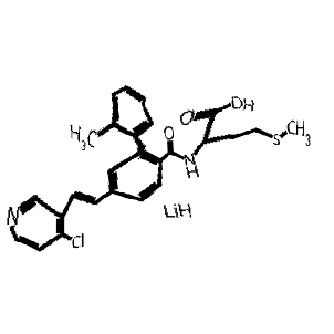 CSCCC(NC(=O)c1ccc(C=Cc2cnccc2Cl)cc1-c1ccccc1C)C(=O)O.[LiH]